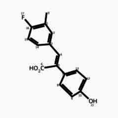 Cc1cc(/C=C(\C(=O)O)c2ccc(O)cc2)ccc1F